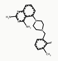 Cc1cccc(CN2CCN(c3cccc4nc(N)nc(N)c34)CC2)c1F